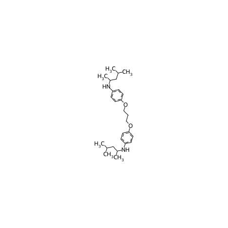 CC(C)CC(C)Nc1ccc(OCCCOc2ccc(NC(C)CC(C)C)cc2)cc1